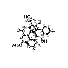 COc1cc(C(N)=O)c(-c2cc(C(C)(C)O)c(Cl)c(-c3ccc(F)cc3)n2)c2c(C(CO)C3CC3)c(C)c(F)nc12